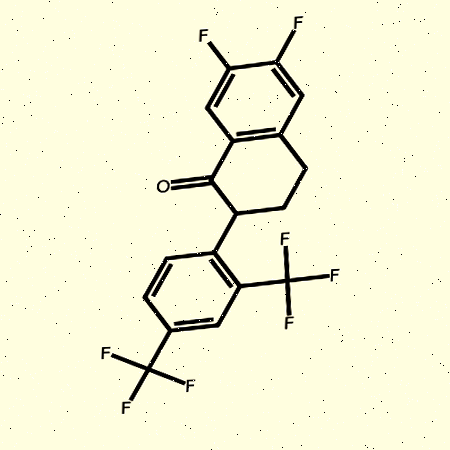 O=C1c2cc(F)c(F)cc2CCC1c1ccc(C(F)(F)F)cc1C(F)(F)F